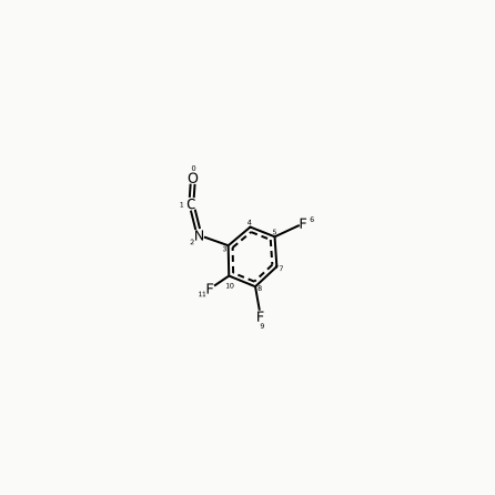 O=C=Nc1cc(F)cc(F)c1F